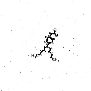 CCSCCN(CCSCC)c1ccc(CC(=O)O)cc1